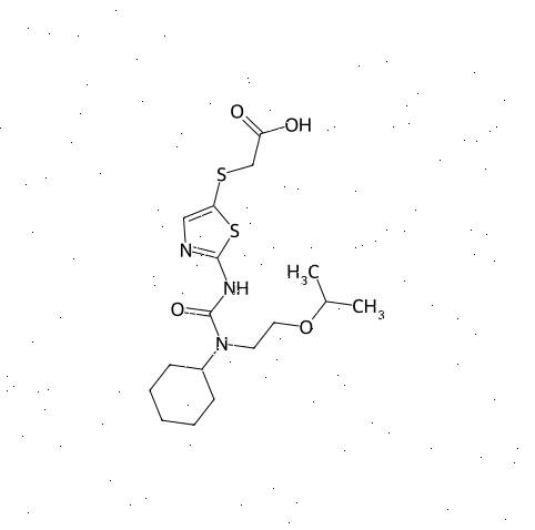 CC(C)OCCN(C(=O)Nc1ncc(SCC(=O)O)s1)C1CCCCC1